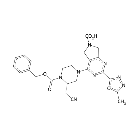 Cc1nnc(-c2nc3c(c(N4CCN(C(=O)OCc5ccccc5)[C@@H](CC#N)C4)n2)CN(C(=O)O)C3)o1